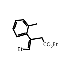 CC/C=C(/CC(=O)OCC)c1ccccc1C